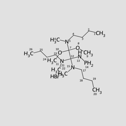 Br.CCCCN(C)C(OC)(OC)C(NP)(N(C)CCCC)N(C)CCCC